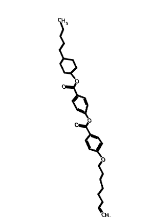 C=CCCCCCCOc1ccc(C(=O)Oc2ccc(C(=O)OC3CCC(CCCCC)CC3)cc2)cc1